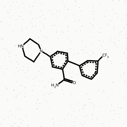 NC(=O)c1[c]c(N2CCNCC2)ccc1-c1cccc(C(F)(F)F)c1